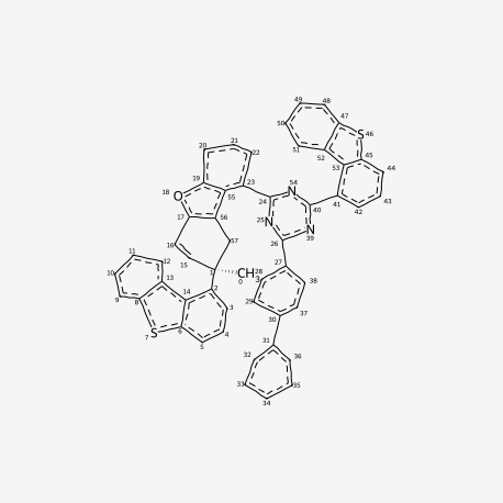 C[C@]1(c2cccc3sc4ccccc4c23)C=Cc2oc3cccc(-c4nc(-c5ccc(-c6ccccc6)cc5)nc(-c5cccc6sc7ccccc7c56)n4)c3c2C1